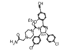 C#Cc1ccc(C2=N[C@@H](c3ccc(Cl)cc3)[C@@H](c3ccc(Cl)cc3)N2C(=O)N2CCN(CC(N)=O)CC2)c(OCC)c1